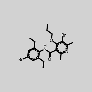 CCCOc1c(Br)c(C)nc(C)c1C(=O)Nc1c(CC)cc(Br)cc1CC